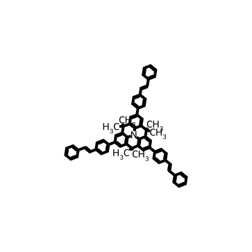 CC1(C)c2cc(-c3ccc(/C=C/c4ccccc4)cc3)cc3c2N2c4c1cc(-c1ccc(/C=C/c5ccccc5)cc1)cc4C(C)(C)c1cc(-c4ccc(/C=C/c5ccccc5)cc4)cc(c12)C3(C)C